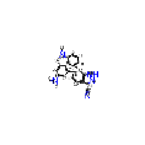 CN(C)c1cccc(C2(c3cccc(N(C)C)c3)C=Cc3c(C#N)n[nH]c3C2)c1